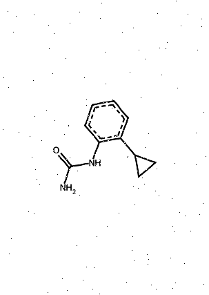 NC(=O)Nc1ccccc1C1CC1